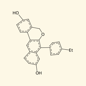 CCc1ccc(-c2c3c(cc4ccc(O)cc24)-c2ccc(O)cc2CO3)cc1